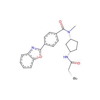 CC[C@@H](C)CC(=O)N[C@H]1CC[C@@H](N(C)C(=O)c2ccc(-c3nc4ccccc4o3)cc2)C1